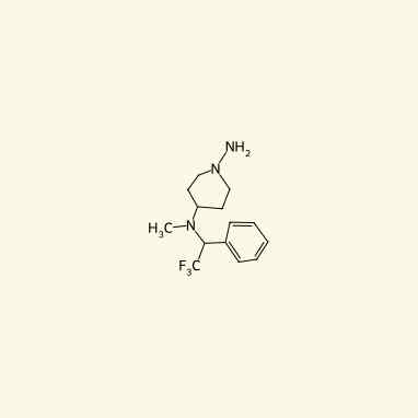 CN(C1CCN(N)CC1)C(c1ccccc1)C(F)(F)F